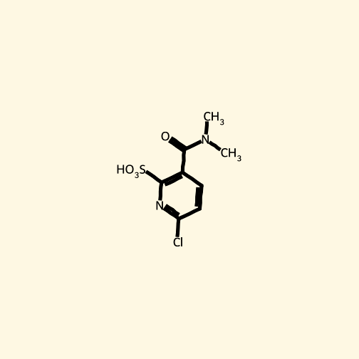 CN(C)C(=O)c1ccc(Cl)nc1S(=O)(=O)O